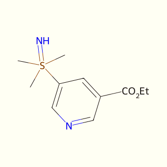 CCOC(=O)c1cncc(S(C)(C)(C)=N)c1